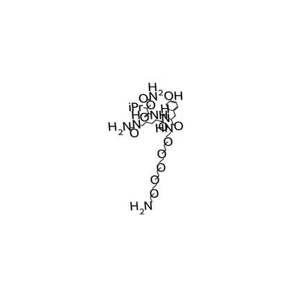 CC(C)C(OC(N)=O)C(=O)NC(CCCNC(N)=O)C(=O)NC(Cc1ccc(O)cc1)C(=O)NCCOCCOCCOCCOCCOCCN